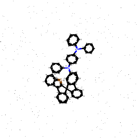 c1ccc(N(c2ccccc2)c2ccc(N(c3ccccc3)c3ccc4c(c3)C3(c5ccccc5-4)c4ccccc4-c4c3sc3ccccc43)cc2)cc1